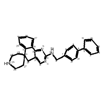 c1ccc(-c2ccc(CNc3ncc4c(n3)-c3ccccc3C3(CCNCC3)C4)cc2)cc1